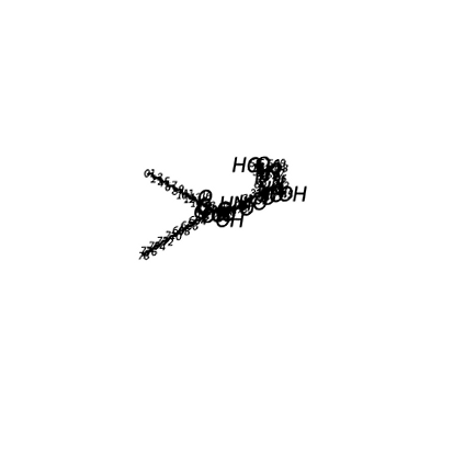 CCCCCCCCCCCCCCCC(=O)OCC(COP(=O)(O)OCCNC(=O)CCCC(C(=O)O)N1CCN(CC(=O)O)Cc2cccc(n2)CN(CC(=O)O)CC1)OC(=O)CCCCCCCCCCCCCCC